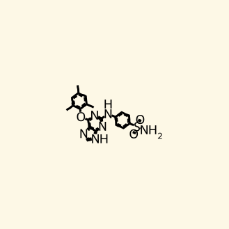 Cc1cc(C)c(Oc2nc(Nc3ccc(S(N)(=O)=O)cc3)nc3[nH]cnc23)c(C)c1